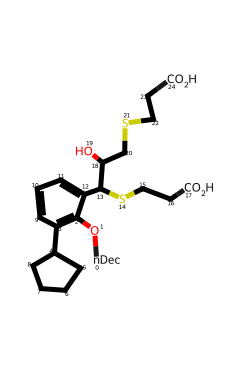 CCCCCCCCCCOc1c(C2CCCC2)cccc1C(SCCC(=O)O)C(O)CSCCC(=O)O